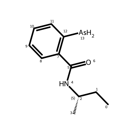 CC[C@H](C)NC(=O)c1[c]cccc1[AsH2]